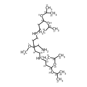 COC(CN)(CCPCCC(OC(C)C)OC(C)C)CCPCCC(OC(C)C)OC(C)C